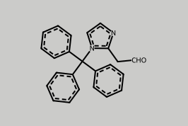 O=CCc1nccn1C(c1ccccc1)(c1ccccc1)c1ccccc1